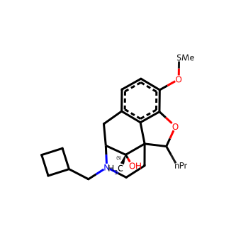 CCCC1Oc2c(OSC)ccc3c2C12CCN(CC1CCC1)C(C3)[C@@]2(C)O